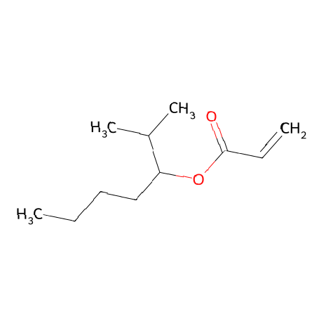 C=CC(=O)OC(CCCC)C(C)C